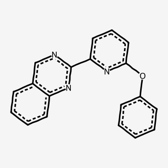 c1ccc(Oc2cccc(-c3ncc4ccccc4n3)n2)cc1